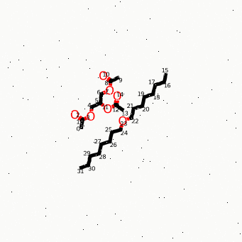 CC(=O)OCC(COC(C)=O)OC(C)=O.CCCCCCCCOCCCCCCCC